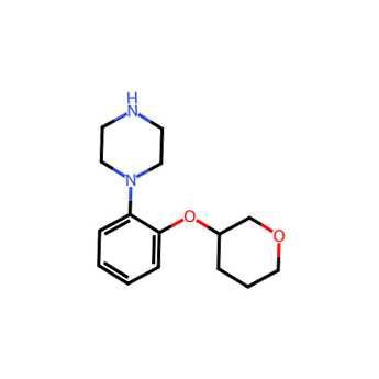 c1ccc(N2CCNCC2)c(OC2CCCOC2)c1